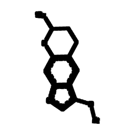 CCOc1coc2cc3c(cc12)CCC(C(C)(C)C)O3